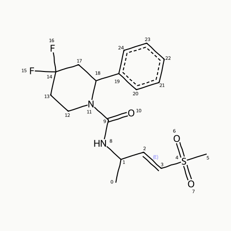 CC(/C=C/S(C)(=O)=O)NC(=O)N1CCC(F)(F)CC1c1ccccc1